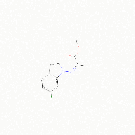 CCOC(=O)/C(C)=N\N1CCc2ccc(F)cc21